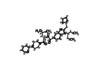 CCC(CC)n1c(Cc2cccs2)nc2cc(C(=O)N[C@@H](CC(C)C)C(=O)N3CCN(c4ccccn4)CC3)ccc21